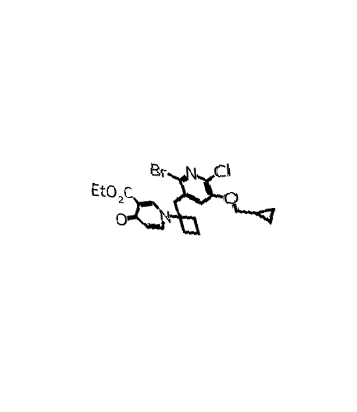 CCOC(=O)c1cn(C2(Cc3cc(OCC4CC4)c(Cl)nc3Br)CCC2)ccc1=O